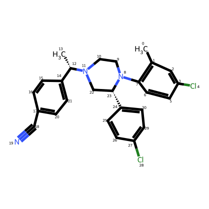 Cc1cc(Cl)ccc1N1CCN([C@@H](C)c2ccc(C#N)cc2)C[C@H]1c1ccc(Cl)cc1